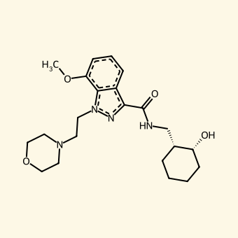 COc1cccc2c(C(=O)NC[C@H]3CCCC[C@H]3O)nn(CCN3CCOCC3)c12